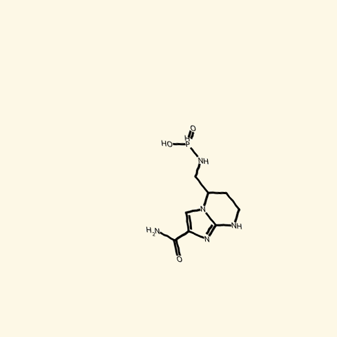 NC(=O)c1cn2c(n1)NCCC2CN[PH](=O)O